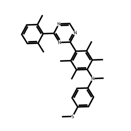 CSc1ccc(N(C)c2c(C)c(C)c(-c3ncnc(-c4c(C)cccc4C)n3)c(C)c2C)cc1